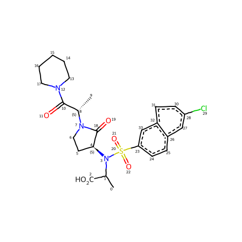 CC(C(=O)O)N([C@H]1CCN([C@@H](C)C(=O)N2CCCCC2)C1=O)S(=O)(=O)c1ccc2cc(Cl)ccc2c1